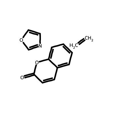 C=C.O=c1ccc2ccccc2o1.c1cocn1